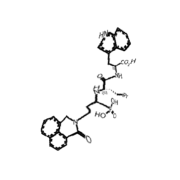 CC(C)C[C@H](NC(CCN1Cc2cccc3cccc(c23)C1=O)P(=O)(O)O)C(=O)N[C@@H](Cc1c[nH]c2ccccc12)C(=O)O